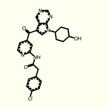 O=C(Cc1ccc(Cl)cc1)Nc1cc(C(=O)c2cn(C3CCC(O)CC3)c3ncncc23)ccn1